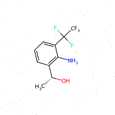 C[C@@H](O)c1cccc(C(F)(F)C(F)(F)F)c1N